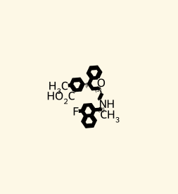 Cc1ccc([C@H]2C[C@@H](CCN[C@H](C)c3ccc(F)c4ccccc34)Oc3ccccc32)cc1C(=O)O